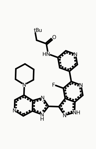 CC(C)(C)CC(=O)Nc1cncc(-c2ncc3[nH]nc(-c4nc5c(N6CCCCC6)cncc5[nH]4)c3c2F)c1